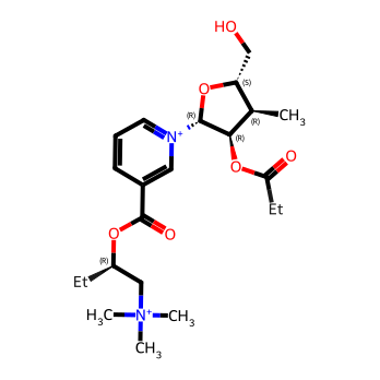 CCC(=O)O[C@@H]1[C@H](C)[C@@H](CO)O[C@H]1[n+]1cccc(C(=O)O[C@H](CC)C[N+](C)(C)C)c1